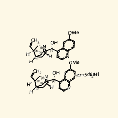 C=C[C@H]1C[N@]2CC[C@H]1C[C@H]2[C@H](O)c1ccnc2ccc(OC)cc12.C=C[C@H]1C[N@]2CC[C@H]1C[C@H]2[C@H](O)c1ccnc2ccc(OC)cc12.O=S(=O)(O)O.[NaH]